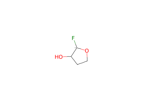 OC1CCO[C]1F